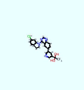 OC(O)(c1cncc(-c2ccc3ncnc(N4CCc5ccc(Cl)cc54)c3c2)c1)C(F)(F)F